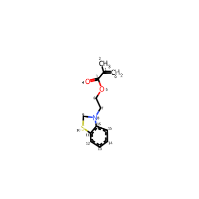 C=C(C)C(=O)OCCN1CSc2ccccc21